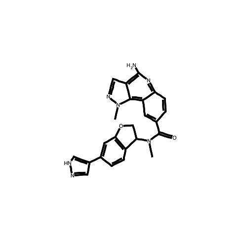 CN(C(=O)c1ccc2nc(N)c3cnn(C)c3c2c1)C1COc2cc(-c3cn[nH]c3)ccc21